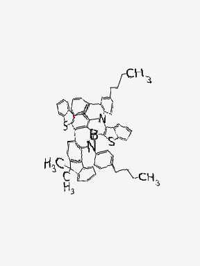 CCCCc1ccc(N2B3c4sc5ccccc5c4N(c4ccc(CCCC)cc4-c4ccccc4)c4cc5c(sc6ccccc65)c(c43)-c3ccc4c(c32)-c2ccccc2C4(C)C)cc1